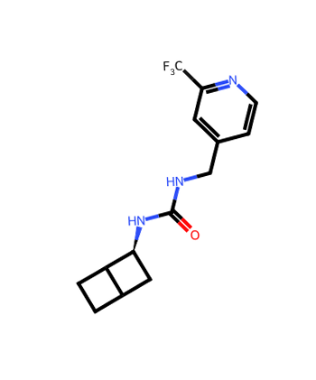 O=C(NCc1ccnc(C(F)(F)F)c1)N[C@H]1CC2CCC21